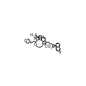 CCOC(=O)c1c(CCCOc2cccc3cc(F)ccc23)c2ccc(Cl)c3c2n1CCCCOC(CCN1CCOCC1)c1nn(C)c(C)c1-3